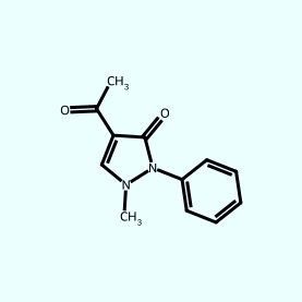 CC(=O)c1cn(C)n(-c2ccccc2)c1=O